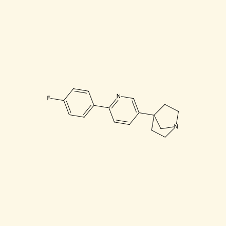 Fc1ccc(-c2ccc(C34CCN(CC3)C4)cn2)cc1